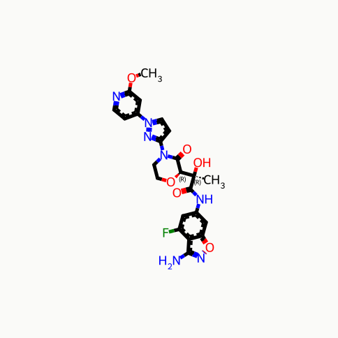 COc1cc(-n2ccc(N3CCO[C@H]([C@@](C)(O)C(=O)Nc4cc(F)c5c(N)noc5c4)C3=O)n2)ccn1